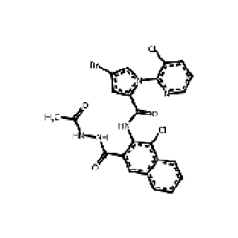 CC(=O)NNC(=O)c1cc2ccccc2c(Cl)c1NC(=O)c1cc(Br)cn1-c1ncccc1Cl